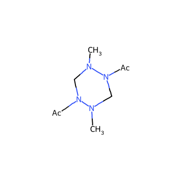 CC(=O)N1CN(C)N(C(C)=O)CN1C